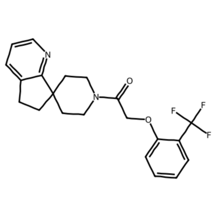 O=C(COc1ccccc1C(F)(F)F)N1CCC2(CCc3cccnc32)CC1